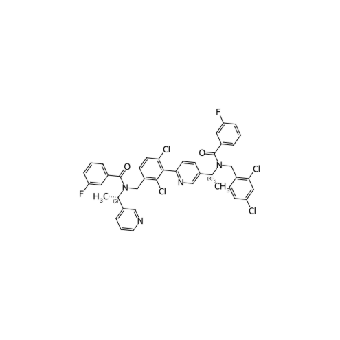 C[C@H](c1ccc(-c2c(Cl)ccc(CN(C(=O)c3cccc(F)c3)[C@@H](C)c3cccnc3)c2Cl)nc1)N(Cc1ccc(Cl)cc1Cl)C(=O)c1cccc(F)c1